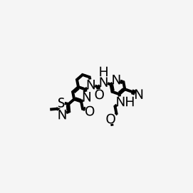 COCCNc1cc(NC(=O)N2CCCc3cc(-c4cnc(C)s4)c(C=O)nc32)ncc1C#N